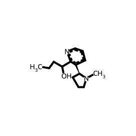 CCCC(O)c1ncccc1[C@@H]1CCCN1C